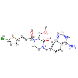 COCC1C(=O)N(Cc2ccc3c(N)ncnc3c2)CCN1C(=O)/C=C/c1ccc(Br)s1